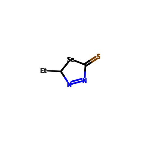 CCC1N=NC(=S)[Se]1